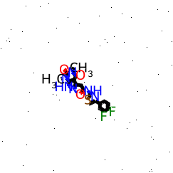 Cn1c(=O)c2c(CC(=O)Nc3nc(C4C=C(F)C(F)=CC4)cs3)n[nH]c2n(C)c1=O